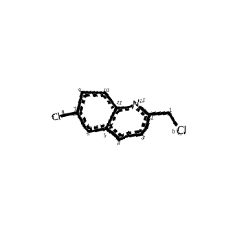 ClCc1ccc2cc(Cl)ccc2n1